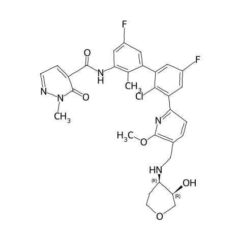 COc1nc(-c2cc(F)cc(-c3cc(F)cc(NC(=O)c4ccnn(C)c4=O)c3C)c2Cl)ccc1CN[C@@H]1CCOC[C@@H]1O